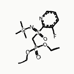 CCOP(=O)(CS(=O)(=N[Si](C)(C)C)c1ncccc1F)OCC